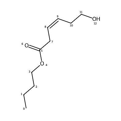 CCCCOC(=O)C/C=C\CCO